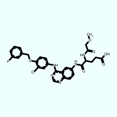 COCC(=O)NC(CCC(=O)O)C(=O)Nc1ccc2ncnc(Nc3ccc(OCc4cccc(F)c4)c(Cl)c3)c2c1